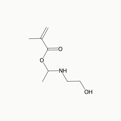 C=C(C)C(=O)OC(C)NCCO